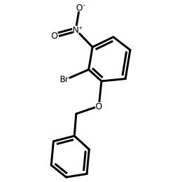 O=[N+]([O-])c1cccc(OCc2ccccc2)c1Br